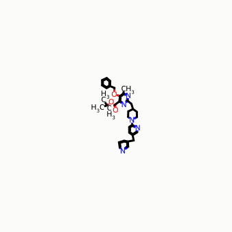 Cc1nc(CC2CCN(c3ccc(Cc4cccnc4)cn3)CC2)nc(C(=O)OC(C)(C)C)c1OCc1ccccc1